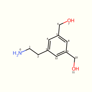 NCCc1cc(CO)cc(CO)c1